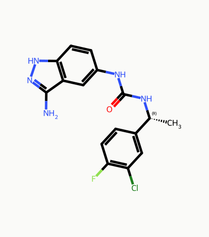 C[C@@H](NC(=O)Nc1ccc2[nH]nc(N)c2c1)c1ccc(F)c(Cl)c1